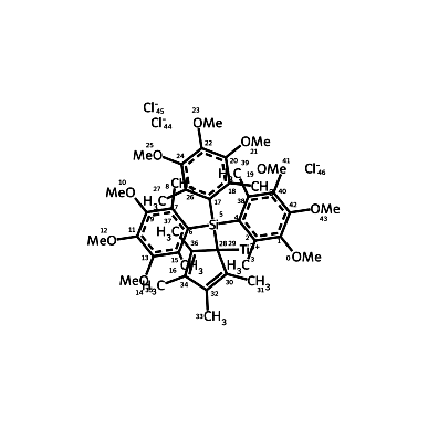 COc1c(C)c([Si](c2c(C)c(OC)c(OC)c(OC)c2C)(c2c(C)c(OC)c(OC)c(OC)c2C)[C]2([Ti+3])C(C)=C(C)C(C)=C2C)c(C)c(OC)c1OC.[Cl-].[Cl-].[Cl-]